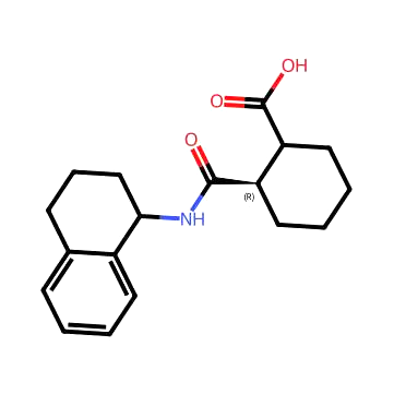 O=C(O)C1CCCC[C@H]1C(=O)NC1CCCc2ccccc21